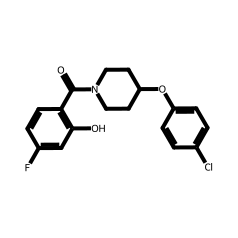 O=C(c1ccc(F)cc1O)N1CCC(Oc2ccc(Cl)cc2)CC1